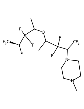 CC(OC(C)C(F)(F)[C@@H](F)C(F)(F)F)C(F)(F)C(N1CCN(C)CC1)C(F)(F)F